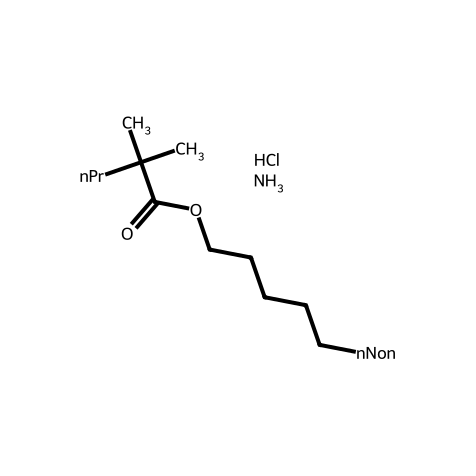 CCCCCCCCCCCCCCOC(=O)C(C)(C)CCC.Cl.N